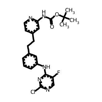 CC(C)(C)OC(=O)Nc1cc(CCc2cccc(Nc3nc(Cl)ncc3F)c2)ccn1